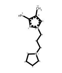 CCCc1nn(CCCN2CCCC2)cc1C